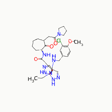 CCN1CC(C(=O)N[C@H]2CCCCC(CC(=O)N3CCCC3)C2=O)=C(NCc2ccc(OC)c(Cl)c2)C23C=NNC12NN=C3